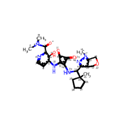 CN(C)C(=O)c1nccc(Nc2c(NC(c3nn(C)c4c3COC4)C3(C)CCCC3)c(=O)c2=O)c1O